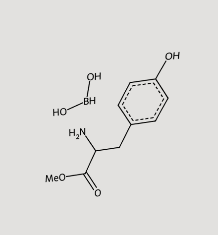 COC(=O)C(N)Cc1ccc(O)cc1.OBO